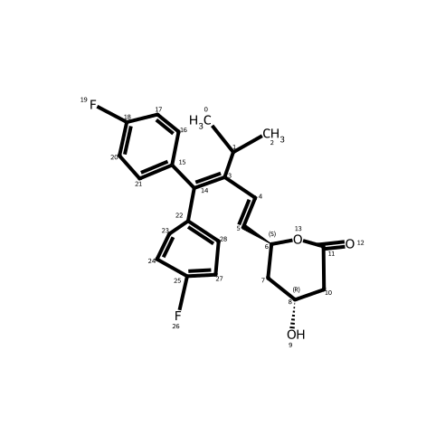 CC(C)C(C=C[C@@H]1C[C@@H](O)CC(=O)O1)=C(c1ccc(F)cc1)c1ccc(F)cc1